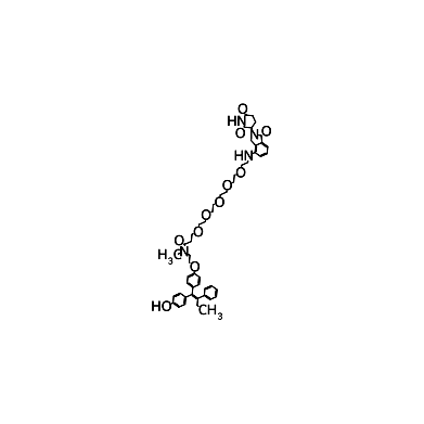 CCC(=C(c1ccc(O)cc1)c1ccc(OCCN(C)C(=O)CCOCCOCCOCCOCCOCCNc2cccc3c2CN(C2CCC(=O)NC2=O)C3=O)cc1)c1ccccc1